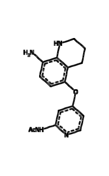 CC(=O)Nc1cc(Oc2ccc(N)c3c2CCCN3)ccn1